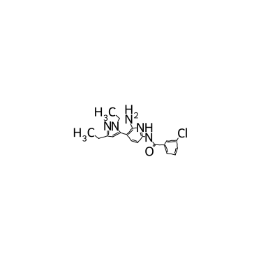 CCc1cc(-c2ccc(NC(=O)c3cccc(Cl)c3)nc2N)n(CC)n1